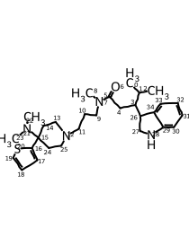 CC(C)C(CC(=O)N(C)CCCN1CCC(c2cccs2)(N(C)C)CC1)C1CNc2ccccc21